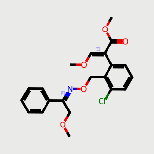 CO/C=C(/C(=O)OC)c1cccc(Cl)c1CO/N=C(\COC)c1ccccc1